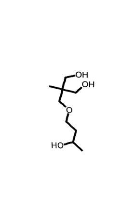 CC(O)CCOCC(C)(CO)CO